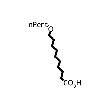 CCCCCOCCCCCCCCCC(=O)O